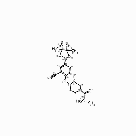 C[C@H](O)C(=O)N1CCC(Oc2ccc(B3OC(C)(C)C(C)(C)O3)cc2C#N)[C@@H](F)C1